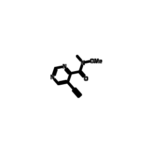 C#Cc1cncnc1C(=O)N(C)OC